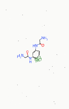 Cl.Cl.NCC(=O)Nc1cccc(NC(=O)CN)c1